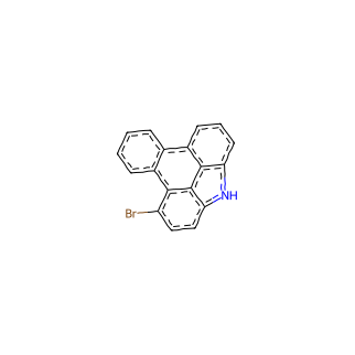 Brc1ccc2[nH]c3cccc4c5ccccc5c1c2c34